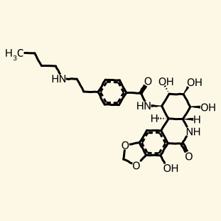 CCCCNCCc1ccc(C(=O)N[C@H]2[C@H](O)[C@@H](O)[C@@H](O)[C@@H]3NC(=O)c4c(cc5c(c4O)OCO5)[C@@H]23)cc1